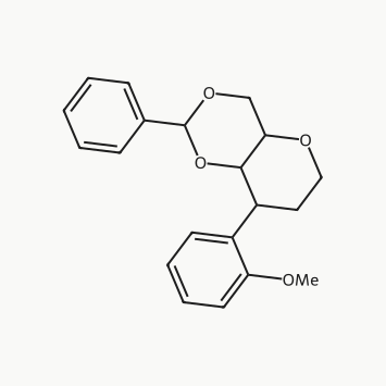 COc1ccccc1C1CCOC2COC(c3ccccc3)OC21